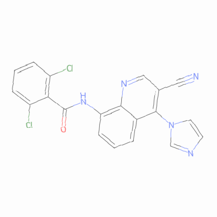 N#Cc1cnc2c(NC(=O)c3c(Cl)cccc3Cl)cccc2c1-n1ccnc1